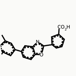 Cc1cc(C)cc(-c2ccc3oc(-c4cccc(C(=O)O)c4)nc3c2)c1